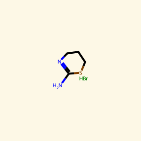 Br.NC1=NCCCS1